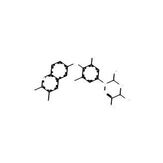 Cc1cc2cc(Oc3c(Cl)cc(N4N=C(C#N)C(O)NC4O)cc3Cl)ccc2nc1Cl